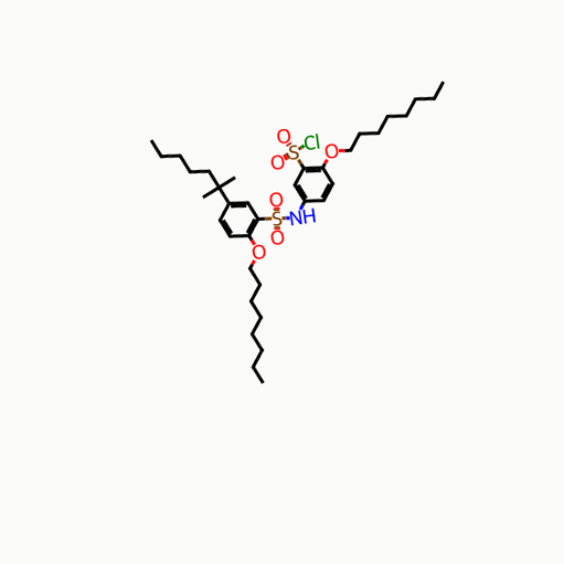 CCCCCCCCOc1ccc(NS(=O)(=O)c2cc(C(C)(C)CCCCC)ccc2OCCCCCCCC)cc1S(=O)(=O)Cl